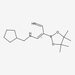 CC1(C)OB(/C(C=N)=C/NCC2CCCC2)OC1(C)C